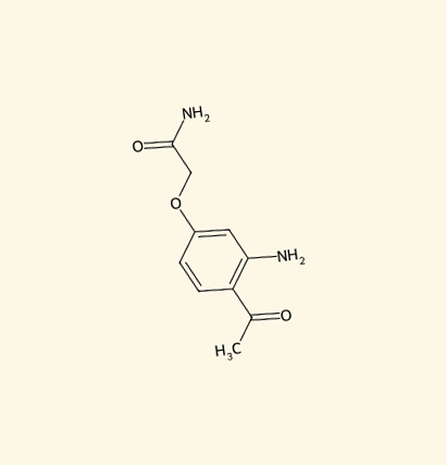 CC(=O)c1ccc(OCC(N)=O)cc1N